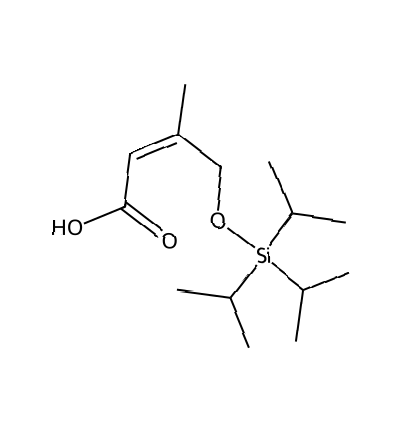 CC(=CC(=O)O)CO[Si](C(C)C)(C(C)C)C(C)C